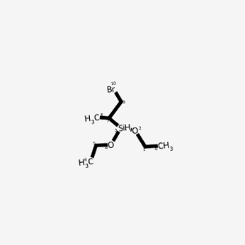 CCO[SiH](OCC)C(C)CBr